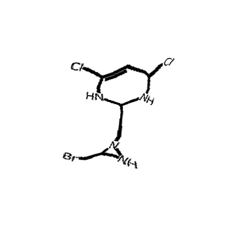 ClC1=CC(Cl)NC(N2NC2Br)N1